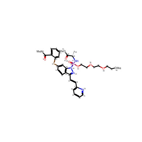 CNC(=O)c1ccccc1Sc1ccc2c(/C=C/c3ccccn3)nn(P(=O)(N[C@@H](C)C(=O)OC)OCCOCCOCCOC)c2c1